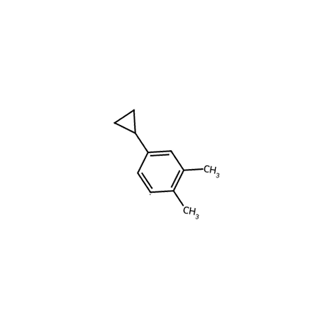 Cc1[c]cc(C2CC2)cc1C